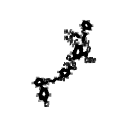 COC(=O)c1cc(S(=O)(=O)NC(=O)c2ccc(NCCNCc3ccccc3-c3ccc(Cl)cc3)cc2)cc(C(F)(F)F)c1N[C@H](CCN(C)C)CSc1ccccc1